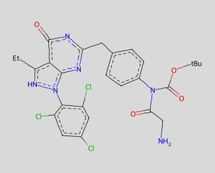 CCc1[nH]n(-c2c(Cl)cc(Cl)cc2Cl)c2nc(Cc3ccc(N(C(=O)CN)C(=O)OC(C)(C)C)cc3)nc(=O)c1-2